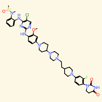 COc1cc(N2CCC(N3CCN(CCC4CCN(c5ccc(N6CCC(=O)NC6=O)c(F)c5)CC4)CC3)CC2)ccc1Nc1ncc(Cl)c(Nc2ccccc2N(C)[S+](C)[O-])n1